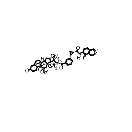 C[C@@H]1C[C@H]2[C@@H]3CCC4=CC(=O)C=C[C@]4(C)[C@@]3(F)[C@@H](O)C[C@]2(C)[C@@]1(O)C(=O)COC(=O)c1cccc([C@@H]2C[C@H]2C(=O)Nc2ccc3cnccc3c2F)c1